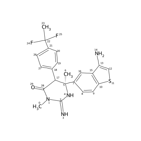 CN1C(=N)N[C@](C)(c2ccc3scc(N)c3c2)C(c2ccc(C(C)(F)F)cc2)C1=O